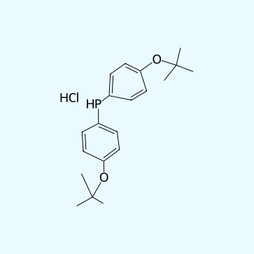 CC(C)(C)Oc1ccc(Pc2ccc(OC(C)(C)C)cc2)cc1.Cl